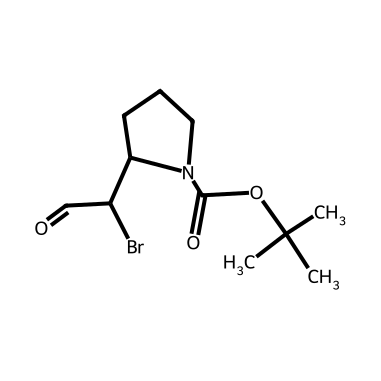 CC(C)(C)OC(=O)N1CCCC1C(Br)C=O